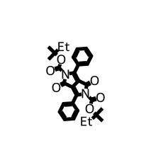 CCC(C)(C)OC(=O)N1C(=O)C2=C(c3ccccc3)N(C(=O)OC(C)(C)CC)C(=O)C2=C1c1ccccc1